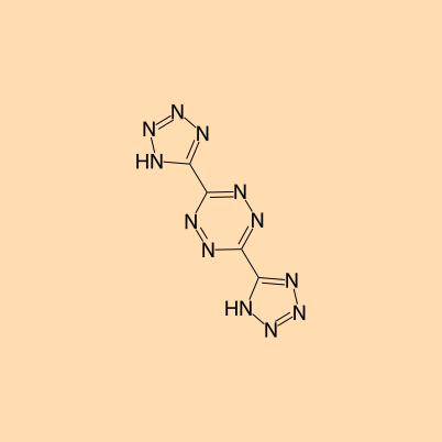 n1n[nH]c(-c2nnc(-c3nnn[nH]3)nn2)n1